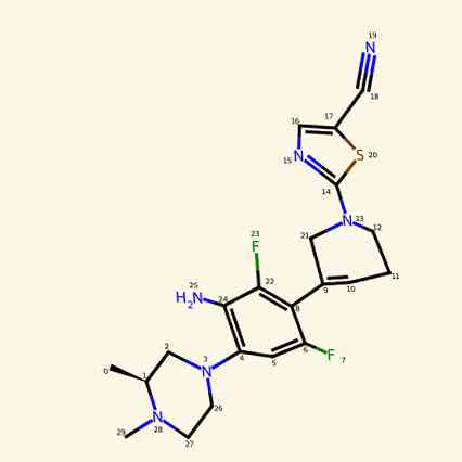 C[C@H]1CN(c2cc(F)c(C3=CCCN(c4ncc(C#N)s4)C3)c(F)c2N)CCN1C